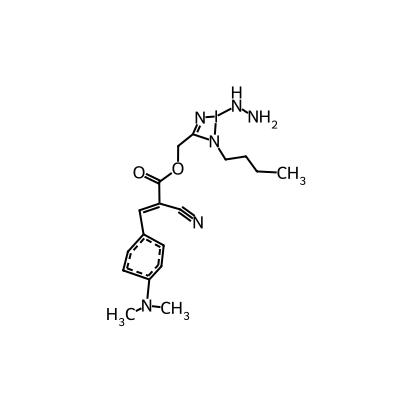 CCCCN1C(COC(=O)/C(C#N)=C/c2ccc(N(C)C)cc2)=NI1NN